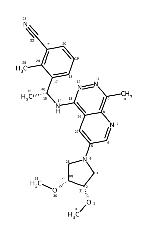 CO[C@H]1CN(c2cnc3c(C)nnc(N[C@H](C)c4cccc(C#N)c4C)c3c2)C[C@H]1OC